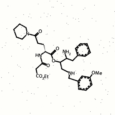 CCOC(=O)CC(=O)N[C@H](CCC(=O)N1CCCCC1)C(=O)OC(CNCc1cccc(OC)c1)C(N)Cc1ccccc1